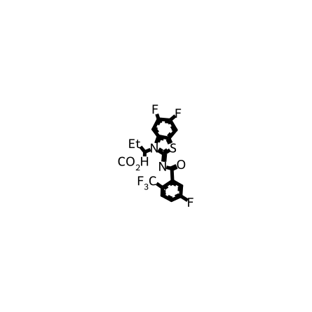 CCC(C(=O)O)n1c(=NC(=O)c2cc(F)ccc2C(F)(F)F)sc2cc(F)c(F)cc21